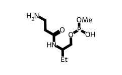 CCC(COP(O)OC)NC(=O)CCN